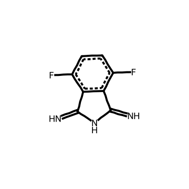 N=C1NC(=N)c2c(F)ccc(F)c21